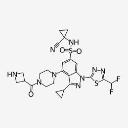 N#CC1(NS(=O)(=O)c2cc(N3CCN(C(=O)C4CNC4)CC3)c3c(C4CC4)nn(-c4nnc(C(F)F)s4)c3c2)CC1